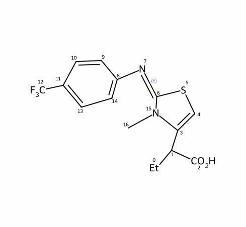 CCC(C(=O)O)c1cs/c(=N/c2ccc(C(F)(F)F)cc2)n1C